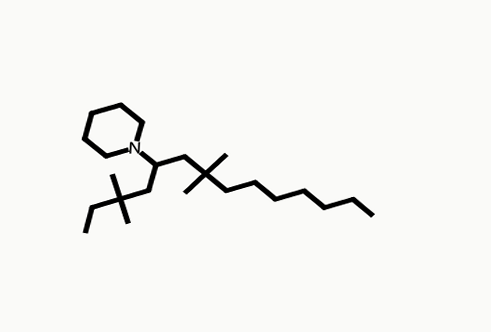 CCCCCCCC(C)(C)CC(CC(C)(C)CC)N1CCCCC1